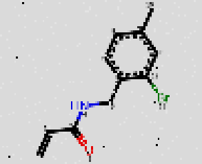 C=CC(=O)NCc1ccc(C)cc1Br